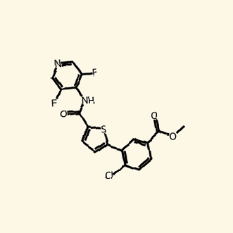 COC(=O)c1ccc(Cl)c(-c2ccc(C(=O)Nc3c(F)cncc3F)s2)c1